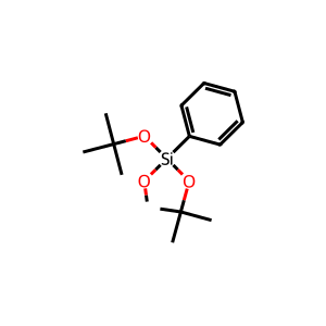 CO[Si](OC(C)(C)C)(OC(C)(C)C)c1ccccc1